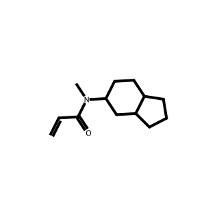 C=CC(=O)N(C)C1CCC2CCCC2C1